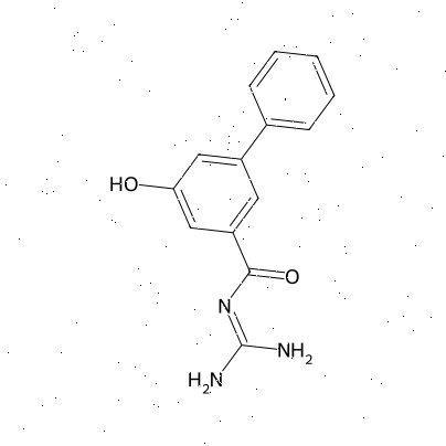 NC(N)=NC(=O)c1cc(O)cc(-c2ccccc2)c1